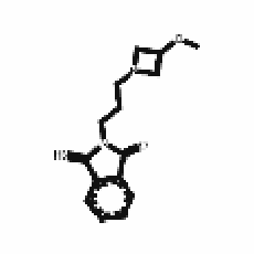 B=C1c2ccccc2C(=O)N1CCCN1CC(OC)C1